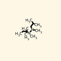 CCC(C)(C)N(C)N(C)CC(C)C